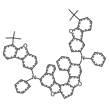 CC(C)(C)c1cccc2c1oc1ccc(N(c3ccccc3)c3cc4oc5ccc6oc7cc(N(c8ccccc8)c8ccc9oc%10c(C(C)(C)C)cccc%10c9c8)c8ccccc8c7c6c5c4c4ccccc34)cc12